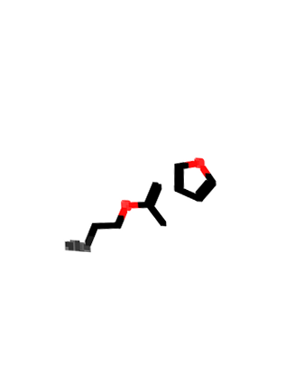 C=C(C)OCCCCCCCC.c1ccoc1